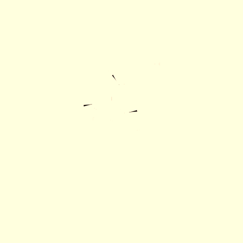 C[C@@]12C[C@H](O)C[C@H]1[C@H]1[C@@H](c3ccc(O)cc3C[C@H]1C=S)[C@@H](F)C2